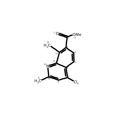 COC(=O)c1ccc2c(Cl)cc(C)nc2c1C